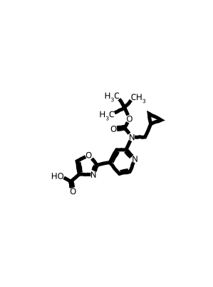 CC(C)(C)OC(=O)N(CC1CC1)c1cc(-c2nc(C(=O)O)co2)ccn1